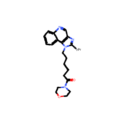 CCCc1nc2cnc3ccccc3c2n1CCCCCC(=O)N1CCOCC1